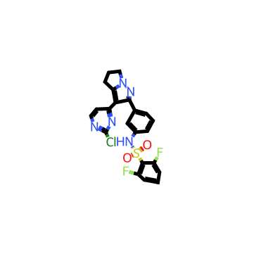 O=S(=O)(Nc1cccc(-c2nn3c(c2-c2ccnc(Cl)n2)CCC3)c1)c1c(F)cccc1F